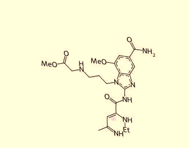 CCN/C(=C\C(C)=N)C(=O)Nc1nc2cc(C(N)=O)cc(OC)c2n1CCCNCC(=O)OC